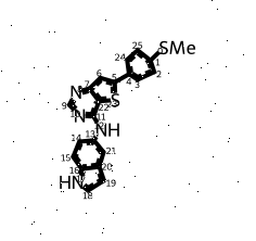 CSc1ccc(-c2cc3ncnc(Nc4ccc5[nH]ccc5c4)c3s2)cc1